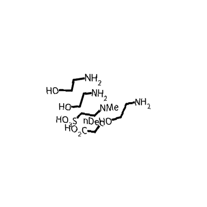 CCCCCCCCCCCC(=O)O.CNCCS(=O)(=O)O.NCCO.NCCO.NCCO